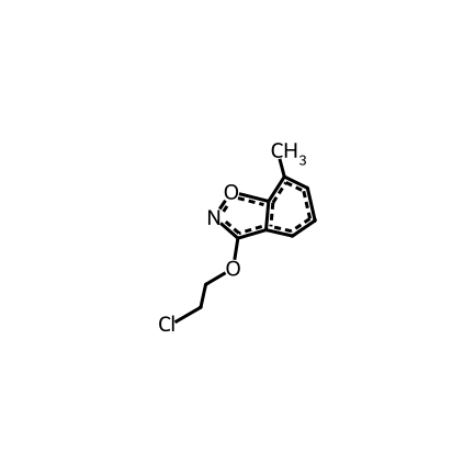 Cc1cccc2c(OCCCl)noc12